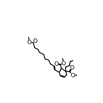 CCCCC1(C(=O)OC)CC=CC(C=CCCCCCCCC(=O)OC)C1C(=O)OC